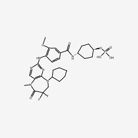 COc1cc(C(=O)N[C@H]2CC[C@H](OP(=O)(O)O)CC2)ccc1Nc1ncc2c(n1)N(C1CCCCC1)CC(F)(F)C(=O)N2C